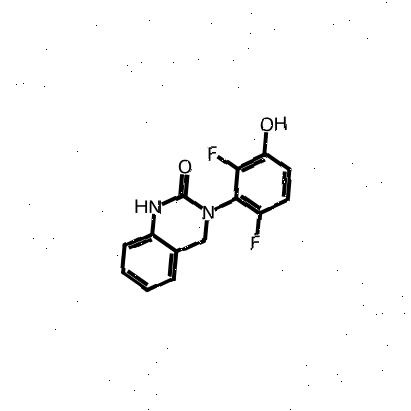 O=C1Nc2ccccc2CN1c1c(F)ccc(O)c1F